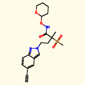 C#Cc1ccc2nn(CCC(C)(C(=O)NOC3CCCCO3)S(C)(=O)=O)cc2c1